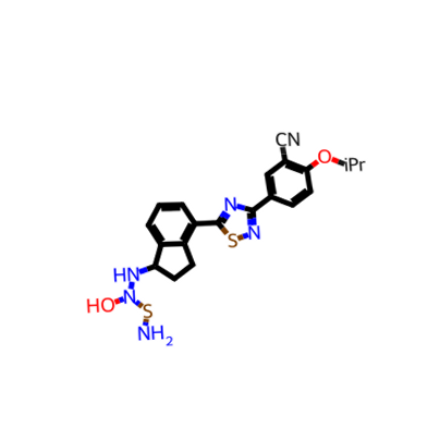 CC(C)Oc1ccc(-c2nsc(-c3cccc4c3CCC4NN(O)SN)n2)cc1C#N